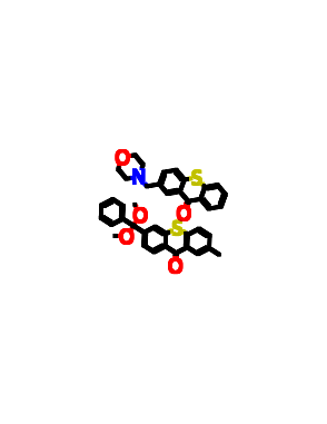 COC(OC)(c1ccccc1)c1ccc2c(=O)c3cc(C)ccc3sc2c1.O=c1c2ccccc2sc2ccc(CN3CCOCC3)cc12